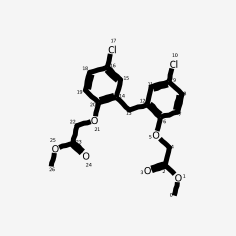 COC(=O)COc1ccc(Cl)cc1Cc1cc(Cl)ccc1OCC(=O)OC